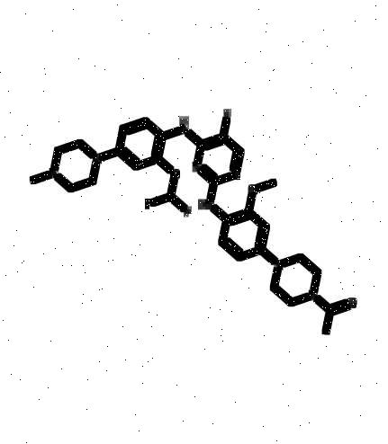 COc1cc(N2CCN(C(C)=O)CC2)ccc1Nc1ncc(F)c(Nc2ccc(N3CCN(C)CC3)cc2OC(F)F)n1